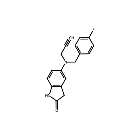 C#CCN(Cc1ccc(F)cc1)c1ccc2c(c1)CC(=O)N2